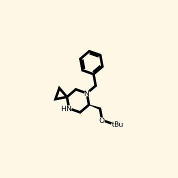 CC(C)(C)OC[C@H]1CNC2(CC2)CN1Cc1ccccc1